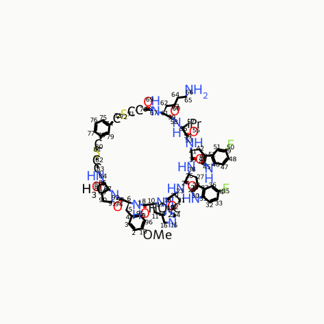 COc1ccc(C[C@@H]2NC(=O)[C@H](CC3=NC=NC3)NC(=O)[C@H](CC(=O)O)NC(=O)[C@H](Cc3c[nH]c4ccc(F)cc34)NC(=O)[C@H](Cc3c[nH]c4ccc(F)cc34)NC(=O)C(C(C)C)NC(=O)[C@H](CCCCN)NC(=O)CCSCc3cccc(c3)CSCCNC(=O)[C@]3(C)CCCN3C2=O)cc1